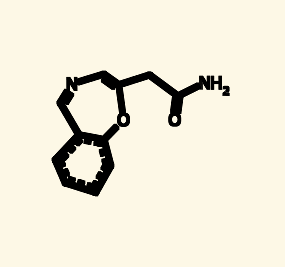 NC(=O)CC1=CN=Cc2ccccc2O1